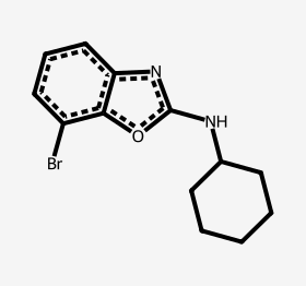 Brc1cccc2nc(NC3CCCCC3)oc12